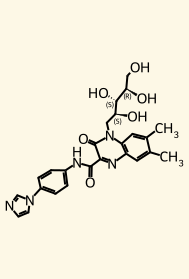 Cc1cc2nc(C(=O)Nc3ccc(-n4ccnc4)cc3)c(=O)n(C[C@H](O)[C@H](O)[C@H](O)CO)c2cc1C